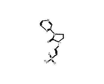 NS(=O)(=O)C=CC[C@H]1CCN(c2cnccn2)C1=O